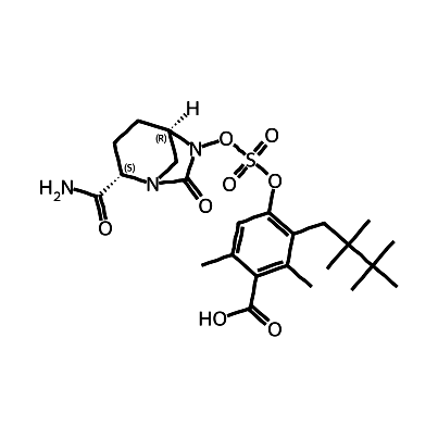 Cc1cc(OS(=O)(=O)ON2C(=O)N3C[C@H]2CC[C@H]3C(N)=O)c(CC(C)(C)C(C)(C)C)c(C)c1C(=O)O